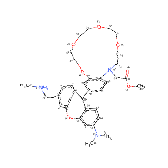 CNCc1ccc2c(c1)Oc1cc(N(C)C)ccc1C2c1ccc2c(c1)OCCOCCOCCOCCN2CC(=O)OC